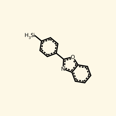 [SiH3]c1ccc(-c2nc3ccccc3o2)cc1